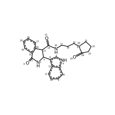 O=C1NC(c2c[nH]c3ccccc23)C(C(=O)NCCCN2CCCC2=O)c2ccccc21